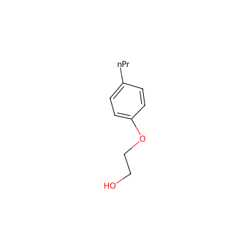 [CH2]CCc1ccc(OCCO)cc1